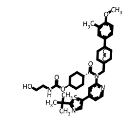 COc1ccc(C23CCC(CN(c4cc(-c5cnc(C(C)(C)C)s5)ccn4)C(=O)[C@H]4CC[C@H](OC(=O)NCCO)CC4)(CC2)CC3)cc1C